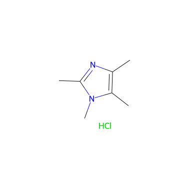 Cc1nc(C)n(C)c1C.Cl